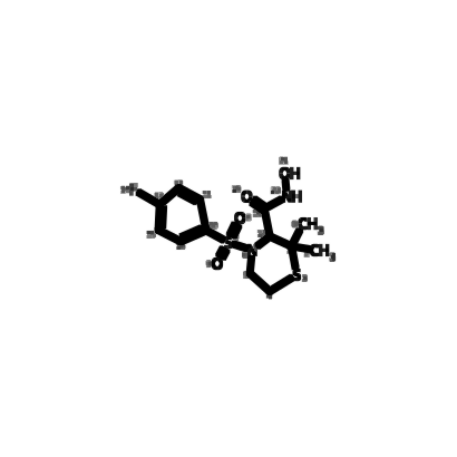 CC1(C)SCCN(S(=O)(=O)c2ccc(F)cc2)C1C(=O)NO